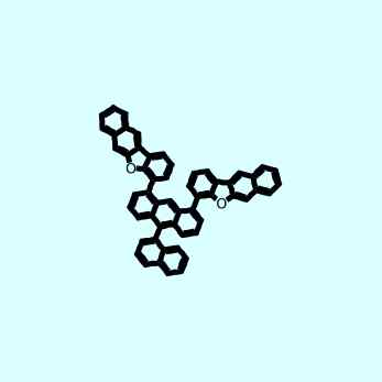 c1ccc2cc3c(cc2c1)oc1c(-c2cccc4c(-c5cccc6ccccc56)c5cccc(-c6cccc7c6oc6cc8ccccc8cc67)c5cc24)cccc13